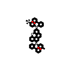 Cc1ccc(N(c2ccccc2-c2ccccc2)c2cc3ccc4cc(N(c5ccc([Si](C)(C)C)cc5)c5ccccc5-c5ccccc5)cc5c4c3c3c(cccc23)O5)cc1